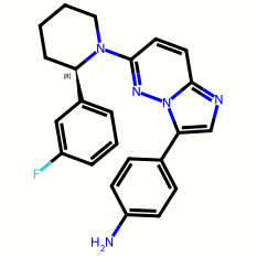 Nc1ccc(-c2cnc3ccc(N4CCCC[C@@H]4c4cccc(F)c4)nn23)cc1